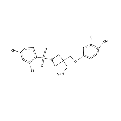 CNCC1(COc2ccc(C#N)c(F)c2)CN(S(=O)(=O)c2ccc(Cl)cc2Cl)C1